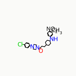 Cc1cc(NC2CCC(CCC(=O)N3CCN(c4ccc(Cl)cc4)CC3)CC2)ccc1[N+](=O)[O-]